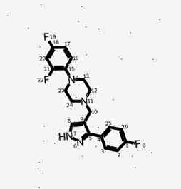 Fc1ccc(-c2n[nH]cc2CN2CCN(c3ccc(F)cc3F)CC2)cc1